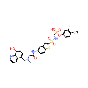 CN(CC(=O)Nc1ccc2sc(S(=O)(=O)NCP(=O)(O)Oc3ccc(C#N)c(F)c3)cc2c1)Cc1ccc(O)c2ncccc12